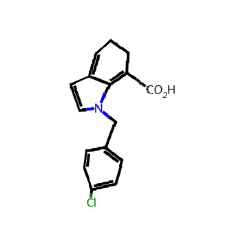 O=C(O)C1=c2c(ccn2Cc2ccc(Cl)cc2)=CCC1